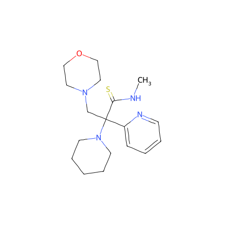 CNC(=S)C(CN1CCOCC1)(c1ccccn1)N1CCCCC1